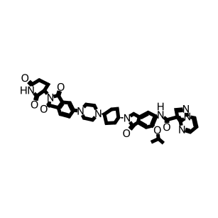 CC(C)Oc1cc2c(cc1NC(=O)c1cnn3cccnc13)CN([C@H]1CC[C@@H](N3CCN(c4ccc5c(c4)C(=O)N(C4CCC(=O)NC4=O)C5=O)CC3)CC1)C2=O